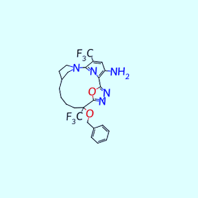 Nc1cc(C(F)(F)F)c2nc1-c1nnc(o1)C(OCc1ccccc1)(C(F)(F)F)CCCCC1CCN2C1